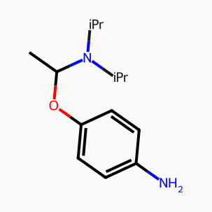 CC(C)N(C(C)C)C(C)Oc1ccc(N)cc1